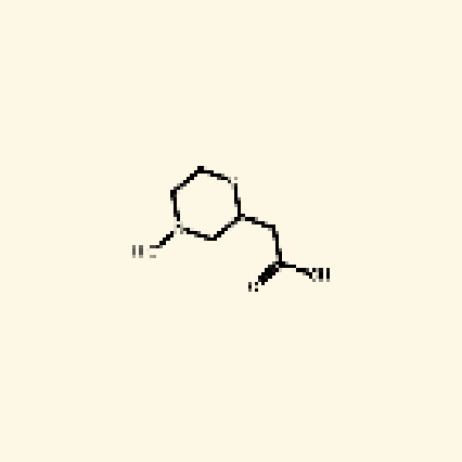 CN1CCOC(CC(=O)O)C1